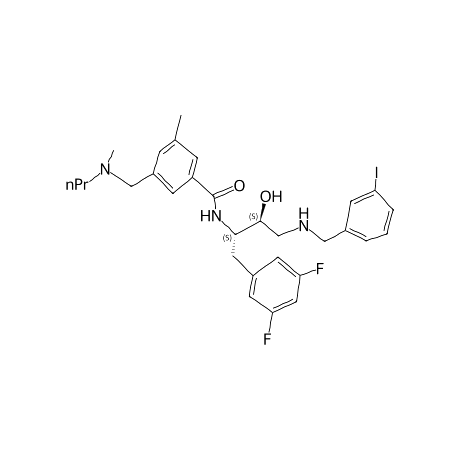 CCCN(C)Cc1cc(C)cc(C(=O)N[C@@H](Cc2cc(F)cc(F)c2)[C@@H](O)CNCc2cccc(I)c2)c1